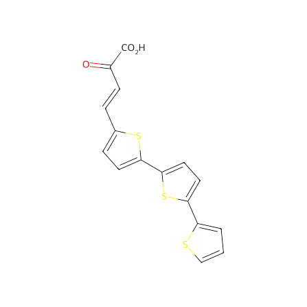 O=C(O)C(=O)C=Cc1ccc(-c2ccc(-c3cccs3)s2)s1